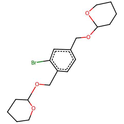 Brc1cc(COC2CCCCO2)ccc1COC1CCCCO1